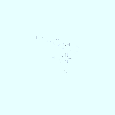 CCOc1ccc2[nH]c3c(c2c1)C[C@@]1(C)C(=O)N(CCN2CCCCC2)C(=O)N1[C@@H]3C1C=CC=CC1